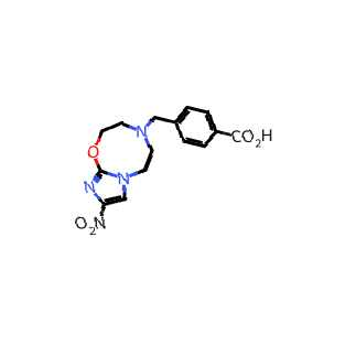 O=C(O)c1ccc(CN2CCOc3nc([N+](=O)[O-])cn3CC2)cc1